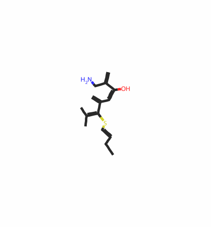 C=C(/C=C(/O)C(=C)CN)C(S/C=C/CC)=C(C)C